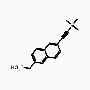 C[Si](C)(C)C#Cc1ccc2cc(CC(=O)O)ccc2c1